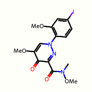 COc1cc(I)ccc1-n1cc(OC)c(=O)c(C(=O)N(C)OC)n1